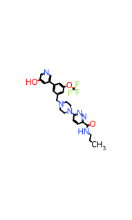 CCCNC(=O)c1ccc(N2CCN(Cc3cc(OC(F)(F)F)cc(-c4cncc(O)c4)c3)CC2)nn1